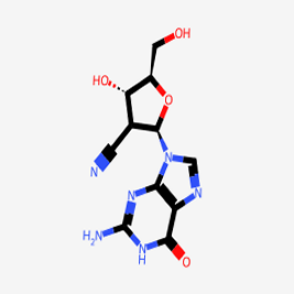 N#CC1[C@H](n2cnc3c(=O)[nH]c(N)nc32)O[C@H](CO)[C@H]1O